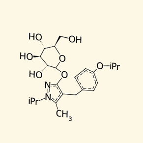 Cc1c(Cc2ccc(OC(C)C)cc2)c(OC2O[C@H](CO)[C@@H](O)[C@H](O)[C@H]2O)nn1C(C)C